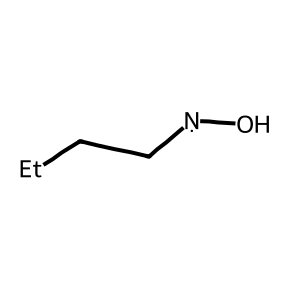 CCCC[N]O